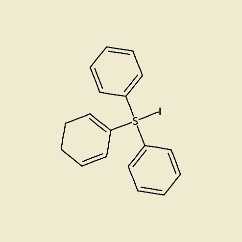 IS(C1=CCCC=C1)(c1ccccc1)c1ccccc1